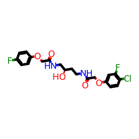 O=C(COc1ccc(Cl)c(F)c1)NCC[C@@H](O)CNC(=O)COc1ccc(F)cc1